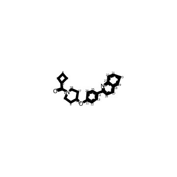 O=C(C1CCC1)N1CCC(Oc2ccc(-c3ccc4ccccc4n3)cc2)CC1